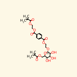 C=C(C)C(=O)OCCOC(=O)c1ccc(C(=O)OCCO[C@H]2OC(COC(=O)C(=C)C)[C@@H](O)C(O)C2O)cc1